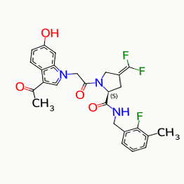 CC(=O)c1cn(CC(=O)N2CC(=C(F)F)C[C@H]2C(=O)NCc2cccc(C)c2F)c2cc(O)ccc12